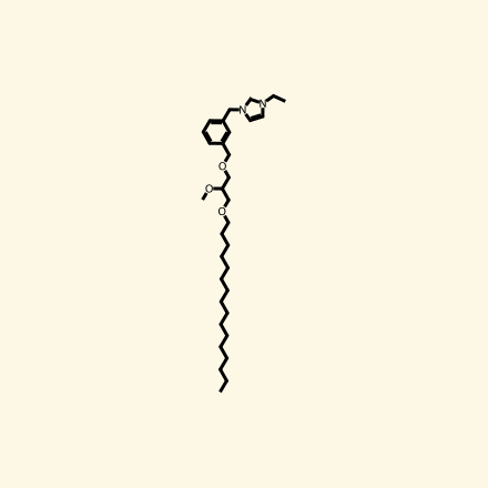 CCCCCCCCCCCCCCCCOCC(COCc1cccc(CN2[CH]N(CC)C=C2)c1)OC